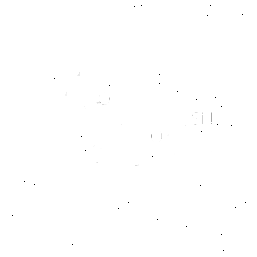 CC(S)COc1cccc(CC(=O)C(C)C)c1